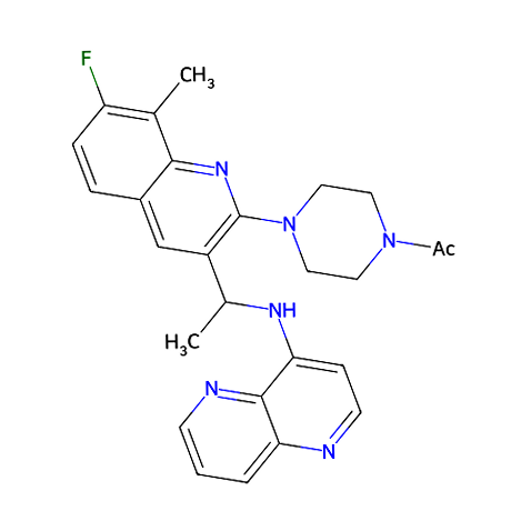 CC(=O)N1CCN(c2nc3c(C)c(F)ccc3cc2C(C)Nc2ccnc3cccnc23)CC1